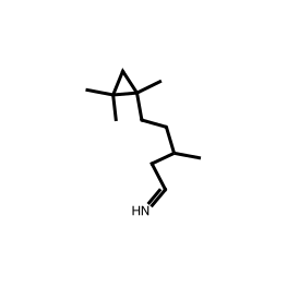 CC(CC=N)CCC1(C)CC1(C)C